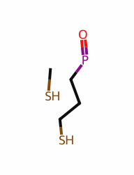 CS.O=PCCCS